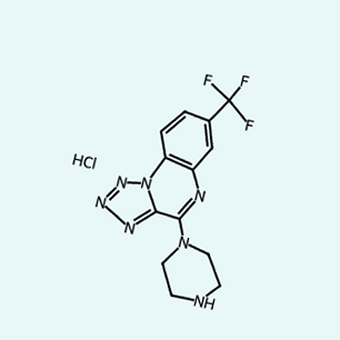 Cl.FC(F)(F)c1ccc2c(c1)nc(N1CCNCC1)c1nnnn12